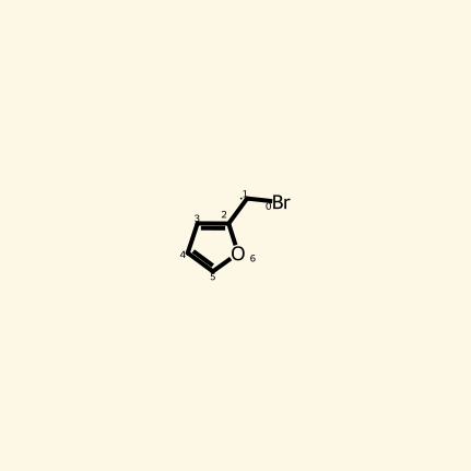 Br[CH]c1ccco1